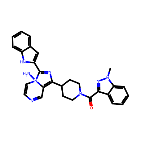 Cn1nc(C(=O)N2CCC(C3=C4C=NC=C[N+]4(N)C(c4cc5ccccc5[nH]4)=N3)CC2)c2ccccc21